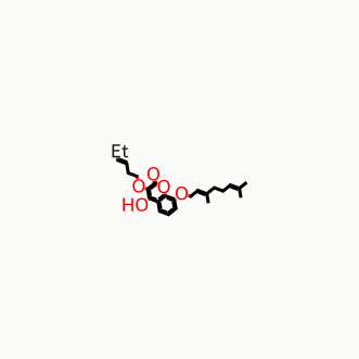 CCC=CCCOc1c(O)c2cccc(OC/C=C(\C)CCC=C(C)C)c2oc1=O